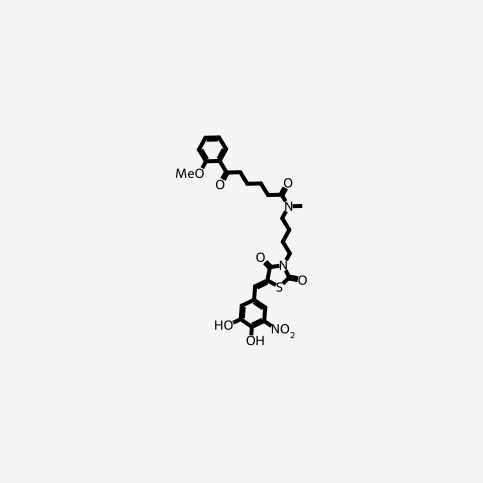 COc1ccccc1C(=O)CCCCC(=O)N(C)CCCCN1C(=O)S/C(=C\c2cc(O)c(O)c([N+](=O)[O-])c2)C1=O